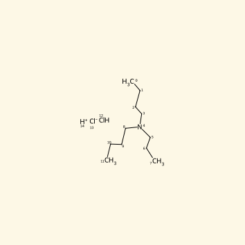 CCCCN(CCC)CCCC.Cl.[Cl-].[H+]